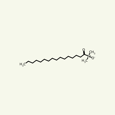 CCCCCCCCCCCCCCCC(=O)[N+](C)(C)[O-]